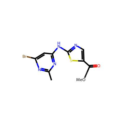 COC(=O)c1cnc(Nc2cc(Br)nc(C)n2)s1